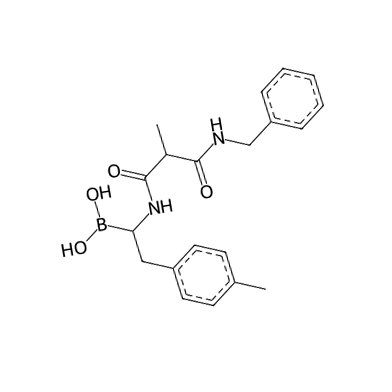 Cc1ccc(CC(NC(=O)C(C)C(=O)NCc2ccccc2)B(O)O)cc1